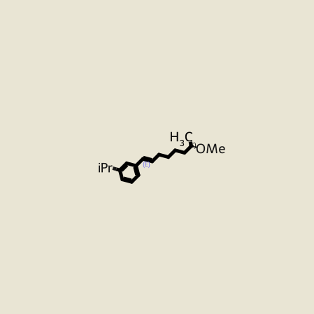 CO[C@@H](C)CCCC/C=C/c1cccc(C(C)C)c1